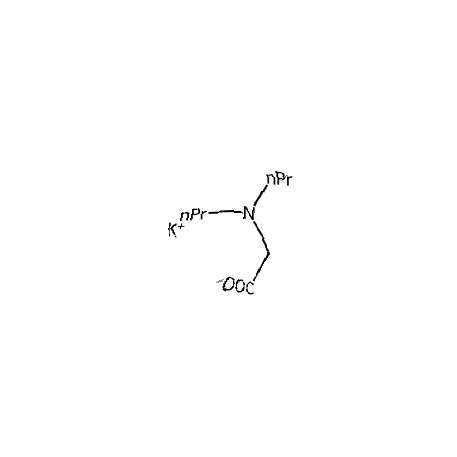 CCCN(CCC)CC(=O)[O-].[K+]